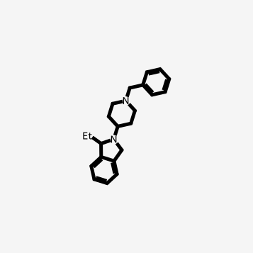 CCC1c2ccccc2CN1C1CCN(Cc2ccccc2)CC1